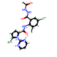 CC(=O)NNC(=O)c1cc(Cl)cc(C)c1NC(=O)c1ccc(Br)n1-c1ncccn1